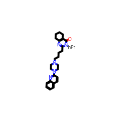 CCCn1c(CCCCN2CCN(c3ccc4ccccc4n3)CC2)nc2c(c1=O)CCCC2